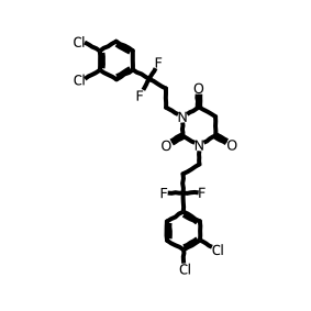 O=C1CC(=O)N(CCC(F)(F)c2ccc(Cl)c(Cl)c2)C(=O)N1CCC(F)(F)c1ccc(Cl)c(Cl)c1